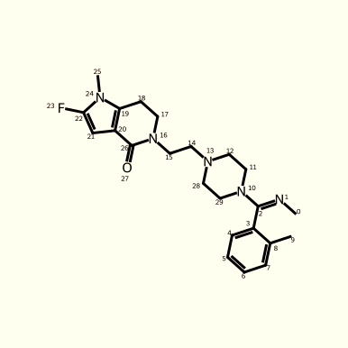 C/N=C(\c1ccccc1C)N1CCN(CCN2CCc3c(cc(F)n3C)C2=O)CC1